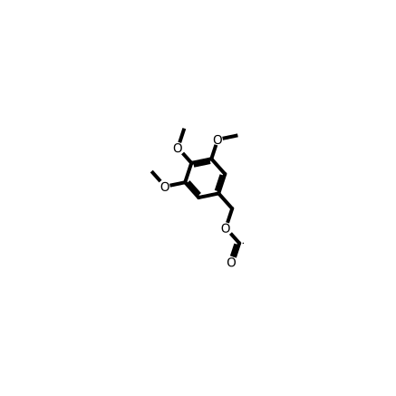 COc1cc(CO[C]=O)cc(OC)c1OC